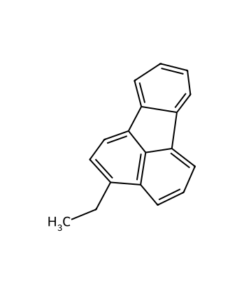 CCc1ccc2c3c(cccc13)-c1ccccc1-2